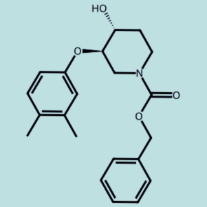 Cc1ccc(O[C@@H]2CN(C(=O)OCc3ccccc3)CC[C@H]2O)cc1C